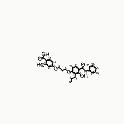 CCCc1c(OCCCOc2ccc(C(=O)O)c(O)c2)ccc(C(=O)Cc2ccccc2)c1O